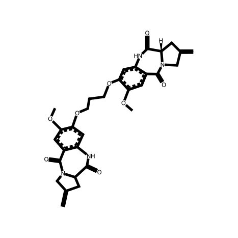 C=C1CC2C(=O)Nc3cc(OCCCOc4cc5c(cc4OC)C(=O)N4CC(=C)C[C@H]4C(=O)N5)c(OC)cc3C(=O)N2C1